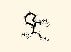 C=CC(C)c1ccccc1P